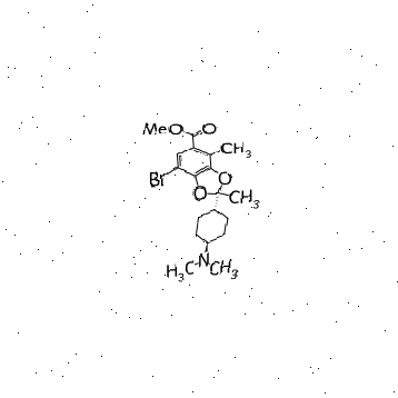 COC(=O)c1cc(Br)c2c(c1C)OC(C)([C@H]1CC[C@H](N(C)C)CC1)O2